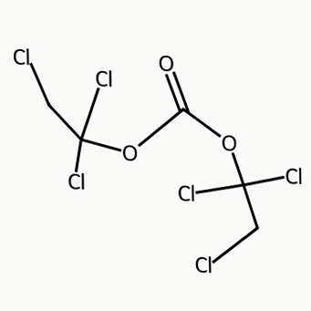 O=C(OC(Cl)(Cl)CCl)OC(Cl)(Cl)CCl